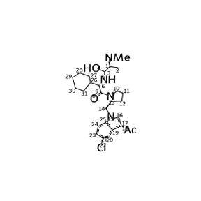 CN[C@@H](C)C(O)N[C@H](C(=O)N1CCC[C@H]1Cn1cc(C(C)=O)c2cc(Cl)ccc21)C1CCCCC1